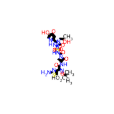 C[C@@H](O)Cn1c(-c2cc(=O)c(O)c[nH]2)nn(S(=O)(=O)NC(=O)N2C[C@H](NC(=O)C(=NOC(C)(C)C(=O)O)c3csc(N)n3)C2=O)c1=O